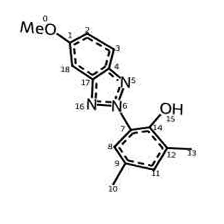 COc1ccc2nn(-c3cc(C)cc(C)c3O)nc2c1